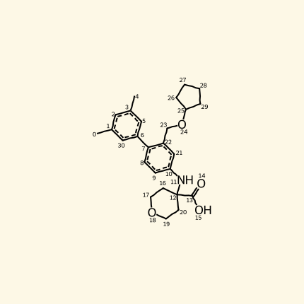 Cc1cc(C)cc(-c2ccc(NC3(C(=O)O)CCOCC3)cc2COC2CCCC2)c1